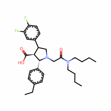 CCCCN(CCCC)C(=O)CN1CC(c2ccc(F)c(F)c2)[C@H](C(=O)O)[C@H]1c1ccc(CC)cc1